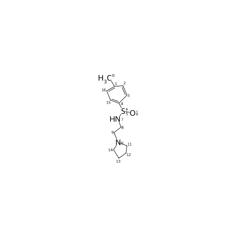 Cc1ccc([S+]([O-])NCCN2CCCC2)cc1